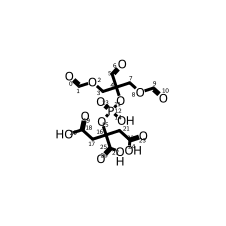 O=COCC(C=O)(COC=O)OP(=O)(O)OC(CC(=O)O)(CC(=O)O)C(=O)O